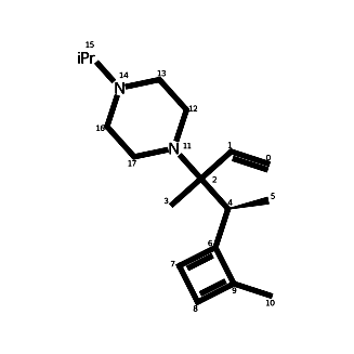 C=CC(C)([C@@H](C)C1=CC=C1C)N1CCN(C(C)C)CC1